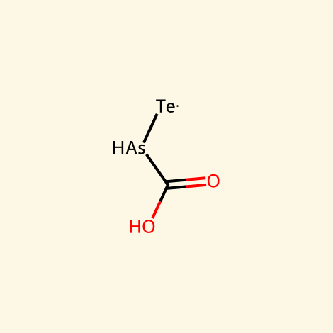 O=C(O)[AsH][Te]